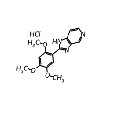 COc1cc(OC)c(-c2nc3cnccc3[nH]2)cc1OC.Cl